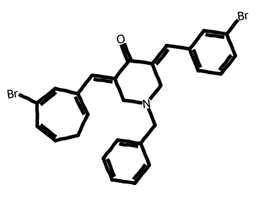 O=C1/C(=C/C2=CCC=CC(Br)=C2)CN(Cc2ccccc2)C/C1=C\c1cccc(Br)c1